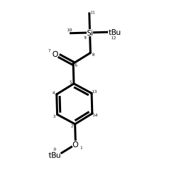 CC(C)(C)Oc1ccc(C(=O)C[Si](C)(C)C(C)(C)C)cc1